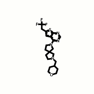 FC(F)(F)Cc1cc2c(N3CCC4(CCN(CC5CCOCC5)C4)C3)ncnc2s1